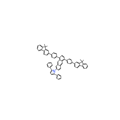 CC1(C)c2ccccc2-c2ccc(-c3ccc(-c4ccc(-c5ccc(-c6ccc7c(c6)C(C)(C)c6ccccc6-7)cc5)c5cc6cc(-n7c(-c8ccccc8)ccc7-c7ccccc7)ccc6cc45)cc3)cc21